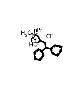 CCC[N+](C)(CC)CC(O)CC(c1ccccc1)c1ccccc1.[Cl-]